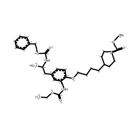 CC(C)(C)OC(=O)N1CCC(CCCCOc2ccc(CC(NC(=O)OCc3ccccc3)C(=O)O)cc2NC(=O)OCC(Cl)(Cl)Cl)CC1